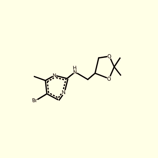 Cc1nc(NCC2COC(C)(C)O2)ncc1Br